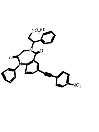 CCOC(=O)CC(c1ccccc1)N1CC(=O)N(c2ccccc2)c2ccc(C#Cc3ccc([N+](=O)[O-])cc3)cc2C1=O